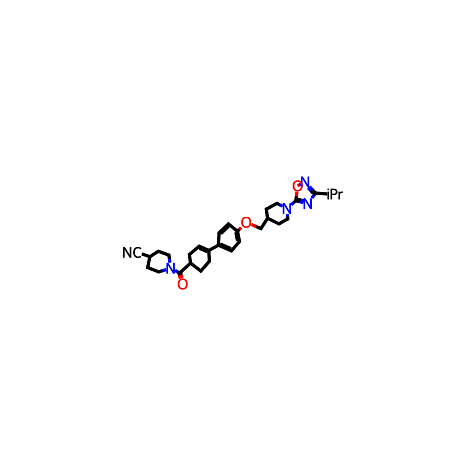 CC(C)c1noc(N2CCC(COc3ccc(C4=CCC(C(=O)N5CCC(C#N)CC5)CC4)cc3)CC2)n1